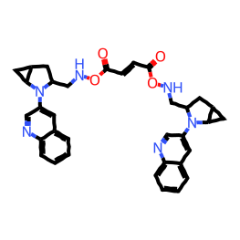 O=C(/C=C/C(=O)ONCC1CC2CC2N1c1cnc2ccccc2c1)ONCC1CC2CC2N1c1cnc2ccccc2c1